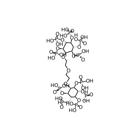 O=[PH](O)C[C@@H]1[C@@H](OP(=O)(O)O)[C@@H](OCCOCCO[C@@H]2[C@H](O[PH](=O)O)[C@@H](OP(=O)(O)O)[C@H](OP(=O)(O)O)[C@@H](OP(=O)(O)O)[C@@H]2OP(=O)(O)O)[C@@H](OP(=O)(O)O)[C@H](O[PH](=O)O)[C@H]1OP(=O)(O)O